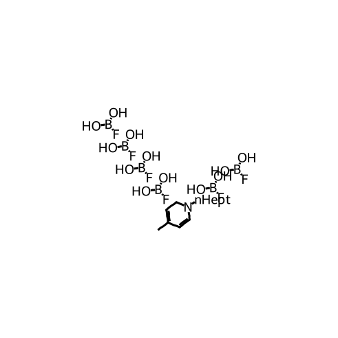 CCCCCCCN1C=CC(C)=CC1.OB(O)F.OB(O)F.OB(O)F.OB(O)F.OB(O)F.OB(O)F